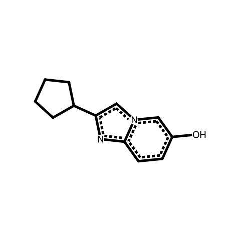 Oc1ccc2nc(C3CCCC3)cn2c1